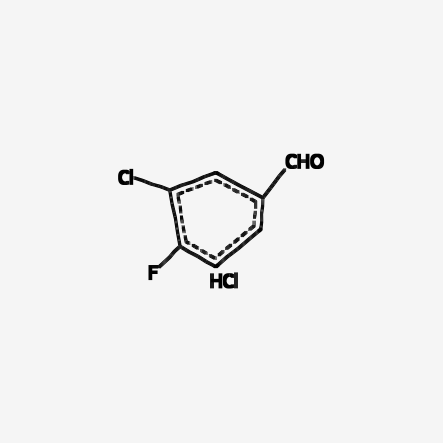 Cl.O=Cc1ccc(F)c(Cl)c1